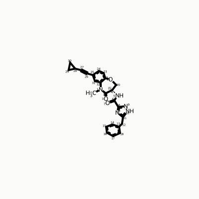 CN1C(=O)[C@@H](NC(=O)c2n[nH]c(Cc3ccccc3)n2)COc2ccc(C#CC3CC3)cc21